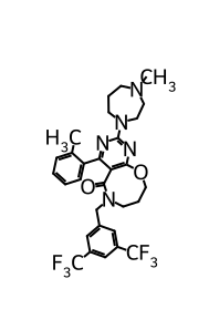 Cc1ccccc1-c1nc(N2CCCN(C)CC2)nc2c1C(=O)N(Cc1cc(C(F)(F)F)cc(C(F)(F)F)c1)CCCO2